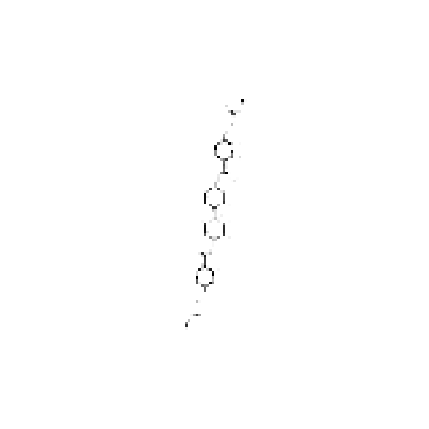 COC(=O)COc1ccc(C(=O)OC2CCC(C3CCC(OC(=O)c4ccc(OCC(=O)OC)cc4)CC3)CC2)cc1